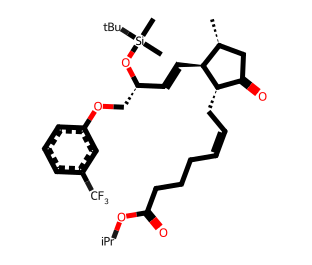 CC(C)OC(=O)CCC/C=C\C[C@H]1C(=O)C[C@@H](C)[C@@H]1/C=C/[C@H](COc1cccc(C(F)(F)F)c1)O[Si](C)(C)C(C)(C)C